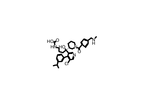 CNCc1ccc(C(=O)N2CCC[C@@H](C(O)(CCCNC(=O)O)c3cncc(Cl)c3-c3cccc(C(C)C)c3)C2)cc1